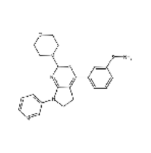 NSc1cccc(-c2nc(N3CCOCC3)nc3c2CCN3c2cccnc2)c1